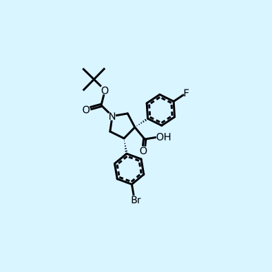 CC(C)(C)OC(=O)N1C[C@@H](c2ccc(Br)cc2)[C@@](C(=O)O)(c2ccc(F)cc2)C1